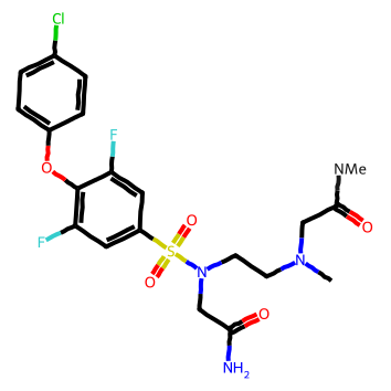 CNC(=O)CN(C)CCN(CC(N)=O)S(=O)(=O)c1cc(F)c(Oc2ccc(Cl)cc2)c(F)c1